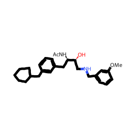 COc1cccc(CNC[C@@H](O)[C@H](Cc2cccc(CC3CCCCC3)c2)NC(C)=O)c1